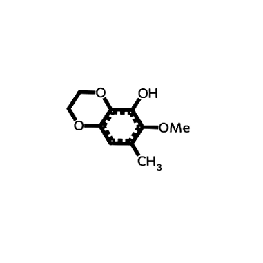 COc1c(C)cc2c(c1O)OCCO2